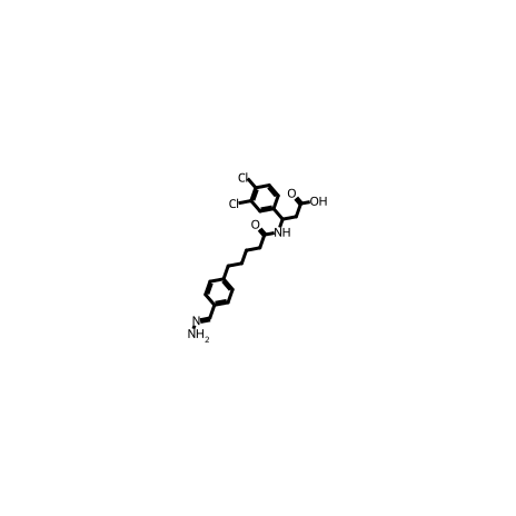 NN=Cc1ccc(CCCCC(=O)NC(CC(=O)O)c2ccc(Cl)c(Cl)c2)cc1